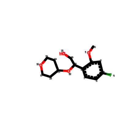 COc1cc(F)ccc1C(CO)OC1CCOCC1